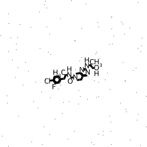 C[C@H](Cc1ccc(Cl)c(F)c1)NC(=O)N1CCc2cnc(N[C@@H](C)CO)nc2C1